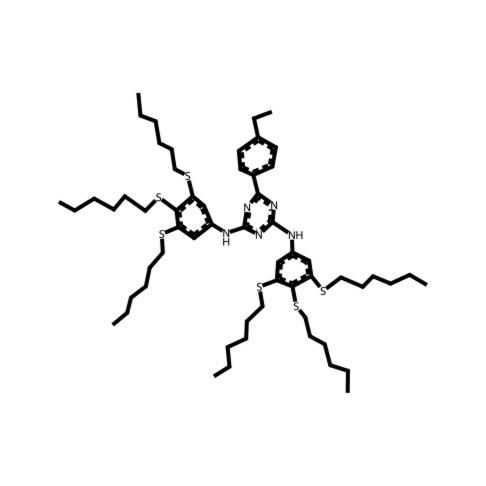 CCCCCCSc1cc(Nc2nc(Nc3cc(SCCCCCC)c(SCCCCCC)c(SCCCCCC)c3)nc(-c3ccc(CC)cc3)n2)cc(SCCCCCC)c1SCCCCCC